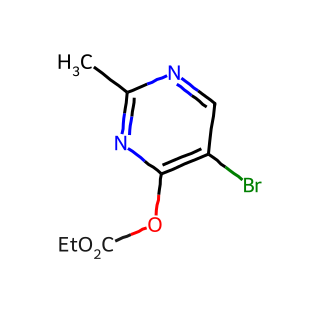 CCOC(=O)Oc1nc(C)ncc1Br